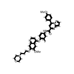 COc1ccc(-c2cc(C(=O)Nc3ccc(Oc4ccnc5cc(OCCCN6CCOCC6)c(OC)cc45)c(F)c3)nc3ccnn23)cc1